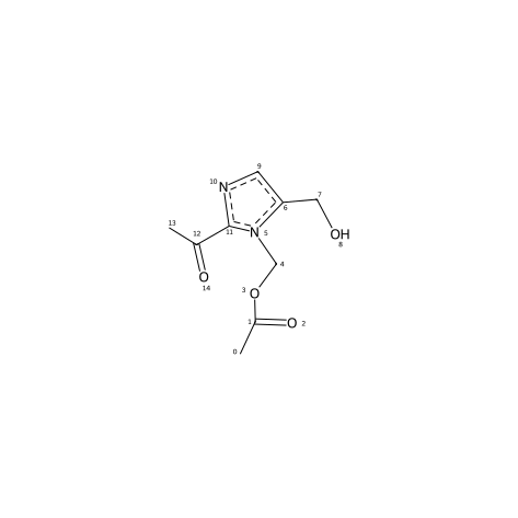 CC(=O)OCn1c(CO)cnc1C(C)=O